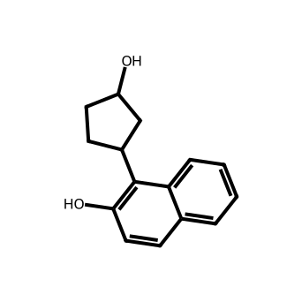 Oc1ccc2ccccc2c1C1CCC(O)C1